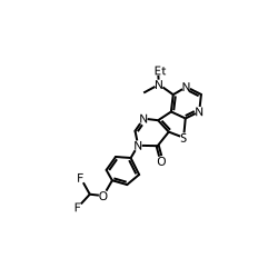 CCN(C)c1ncnc2sc3c(=O)n(-c4ccc(OC(F)F)cc4)cnc3c12